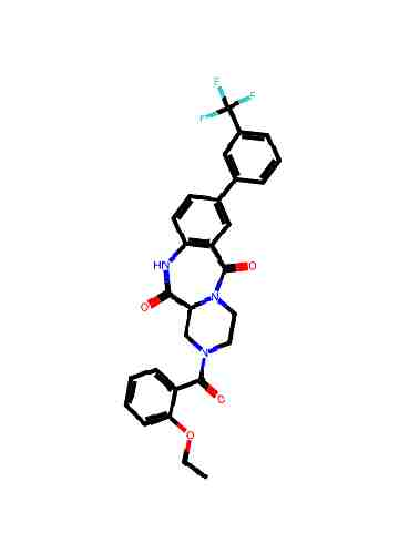 CCOc1ccccc1C(=O)N1CCN2C(=O)c3cc(-c4cccc(C(F)(F)F)c4)ccc3NC(=O)C2C1